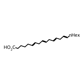 CCCCCCC=CCC=CCC=CCC=CCCCCC(=O)O